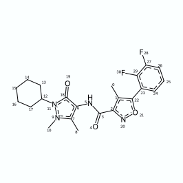 Cc1c(C(=O)Nc2c(C)n(C)n(C3CCCCC3)c2=O)noc1-c1cccc(F)c1F